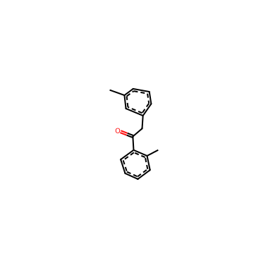 Cc1cccc(CC(=O)c2ccccc2C)c1